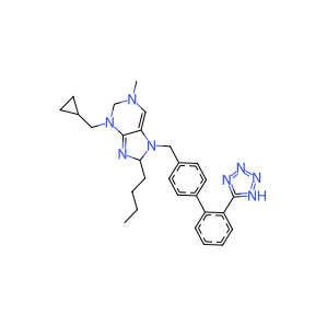 CCCCC1N=C2C(=CN(C)CN2CC2CC2)N1Cc1ccc(-c2ccccc2-c2nnn[nH]2)cc1